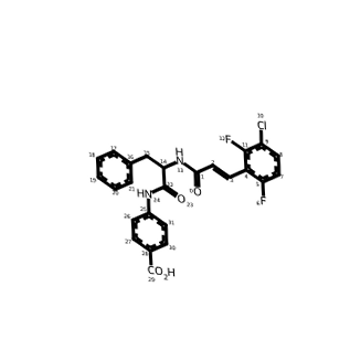 O=C(/C=C/c1c(F)ccc(Cl)c1F)NC(Cc1ccccc1)C(=O)Nc1ccc(C(=O)O)cc1